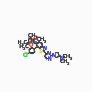 COC(=O)[C@@H](OC(C)(C)C)c1c(C)cc2nc(-c3ccnc(N4CC[C@@H](N(C)C)C4)n3)sc2c1-c1ccc(Cl)cc1